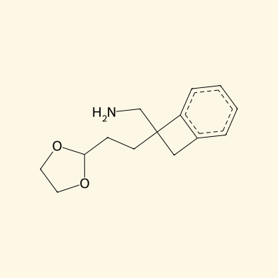 NCC1(CCC2OCCO2)Cc2ccccc21